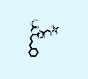 CC(C)(C)OC(=O)C[C@@H](CCCC1CCCCC1)c1nc(CNS(C)(=O)=O)no1